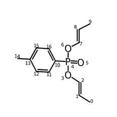 CC=COP(=O)(OC=CC)c1ccc(C)cc1